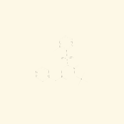 C[C@@H](C(=O)ON(C(=O)OC(C)(C)C)S(=O)(=O)c1ccccc1Br)c1ccccc1